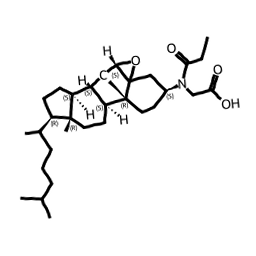 CCC(=O)N(CC(=O)O)[C@H]1CC[C@]2(C)[C@H]3CC[C@]4(C)[C@@H](C(C)CCCC(C)C)CC[C@H]4[C@@H]3C[C@@H]3OC32C1